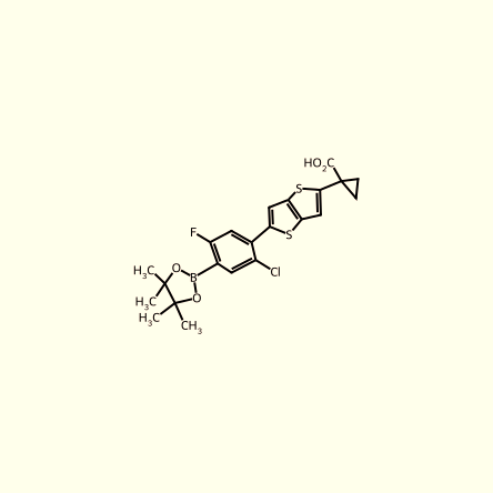 CC1(C)OB(c2cc(Cl)c(-c3cc4sc(C5(C(=O)O)CC5)cc4s3)cc2F)OC1(C)C